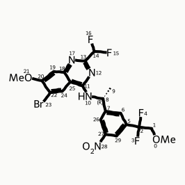 COCC(F)(F)c1cc([C@@H](C)Nc2nc(C(F)F)nc3cc(OC)c(Br)cc23)cc([N+](=O)[O-])c1